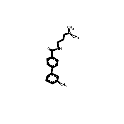 Cc1cccc(-c2ccc(C(=O)NCCCN(C)C)cc2)c1